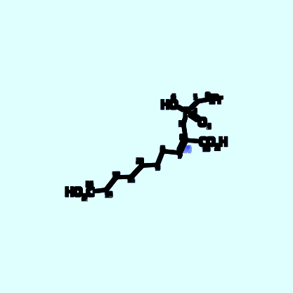 CC(C)CP(=O)(O)C/C(=C\CCCCCCC(=O)O)C(=O)O